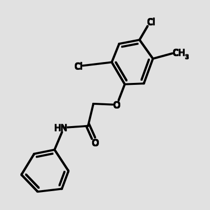 Cc1cc(OCC(=O)Nc2ccccc2)c(Cl)cc1Cl